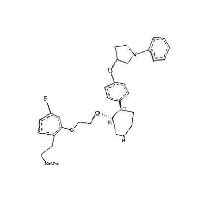 CC(=O)NCCc1ccc(F)cc1OCCO[C@H]1CNCC[C@@H]1c1ccc(OC2CCN(c3ccccc3)C2)cc1